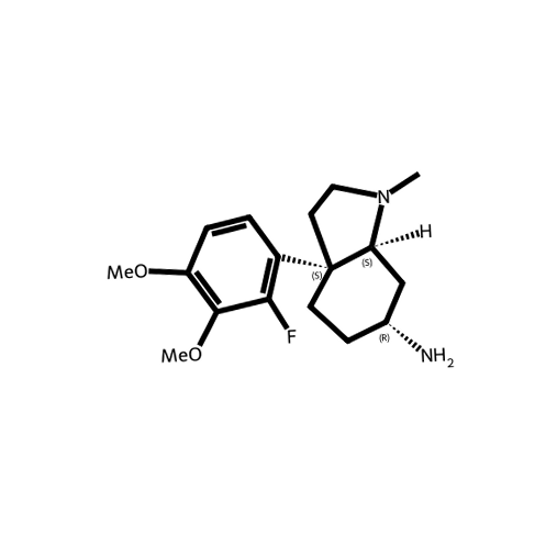 COc1ccc([C@@]23CC[C@@H](N)C[C@@H]2N(C)CC3)c(F)c1OC